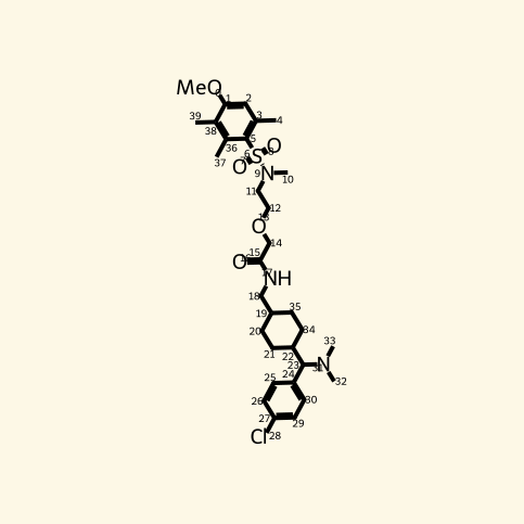 COc1cc(C)c(S(=O)(=O)N(C)CCOCC(=O)NCC2CCC(C(c3ccc(Cl)cc3)N(C)C)CC2)c(C)c1C